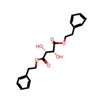 O=C(OCCc1ccccc1)[C@H](O)[C@@H](O)C(=O)OCCc1ccccc1